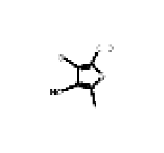 Cc1sc(C=O)c(Cl)c1C#N